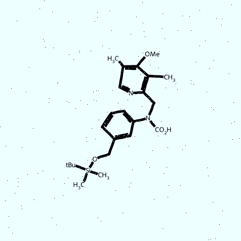 COc1c(C)cnc(CN(C(=O)O)c2cccc(CO[Si](C)(C)C(C)(C)C)c2)c1C